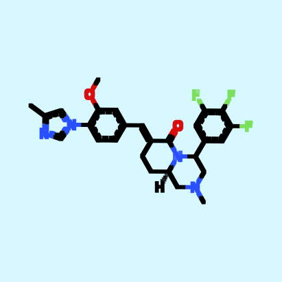 COc1cc(/C=C2\CC[C@@H]3CN(C)CC(c4cc(F)c(F)c(F)c4)N3C2=O)ccc1-n1cnc(C)c1